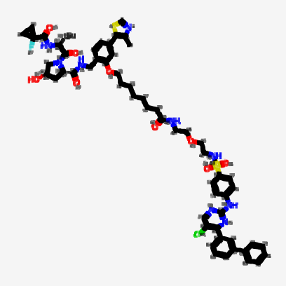 Cc1ncsc1-c1ccc(CNC(=O)[C@@H]2C[C@@H](O)CN2C(=O)[C@@H](NC(=O)C2(F)CC2)C(C)(C)C)c(OCCCCCCCC(=O)NCCOCCNS(=O)(=O)c2ccc(Nc3ncc(Cl)c(-c4cccc(-c5ccccc5)c4)n3)cc2)c1